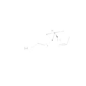 CCOC12C=CC=C[C@H]1C2